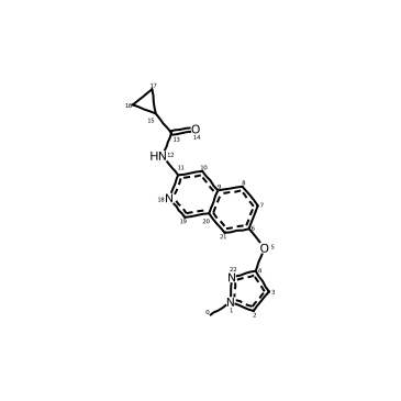 Cn1ccc(Oc2ccc3cc(NC(=O)C4CC4)ncc3c2)n1